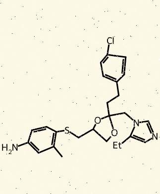 CCc1cncn1CC1(CCc2ccc(Cl)cc2)OCC(CSc2ccc(N)cc2C)O1